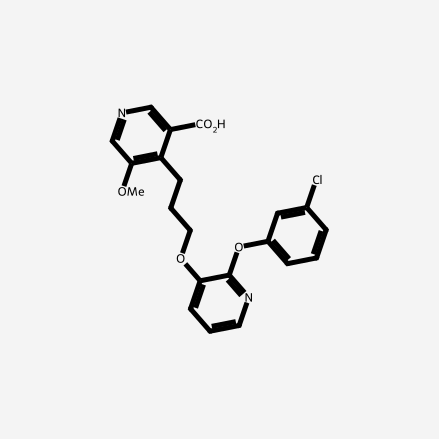 COc1cncc(C(=O)O)c1CCCOc1cccnc1Oc1cccc(Cl)c1